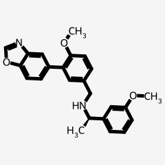 COc1cccc([C@@H](C)NCc2ccc(OC)c(-c3ccc4ocnc4c3)c2)c1